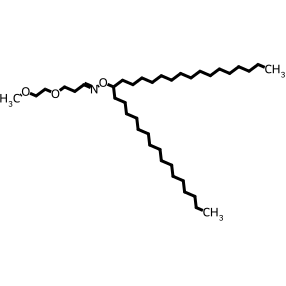 CCCCCCCCCCCCCCCCC(CCCCCCCCCCCCCCCC)O/N=C/CCOCCOC